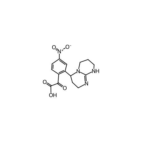 O=C(O)C(=O)c1ccc([N+](=O)[O-])cc1C1CCN=C2NCCCN21